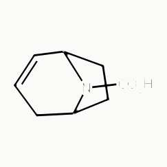 O=C(O)N1C2C=CCC1CC2